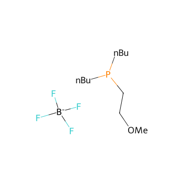 CCCCP(CCCC)CCOC.F[B-](F)(F)F